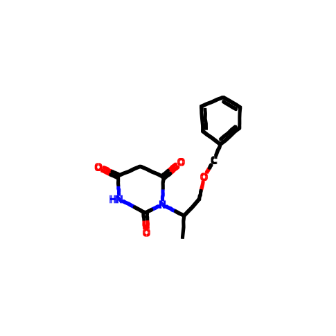 CC(COCc1ccccc1)N1C(=O)CC(=O)NC1=O